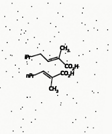 CC(=CCC(C)C)C(=O)O.CCCC=C(C)C(=O)O